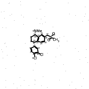 CN[C@H]1CC[C@@H](c2ccc(Cl)c(Cl)c2)c2ccc(CS(C)(=O)=O)cc21